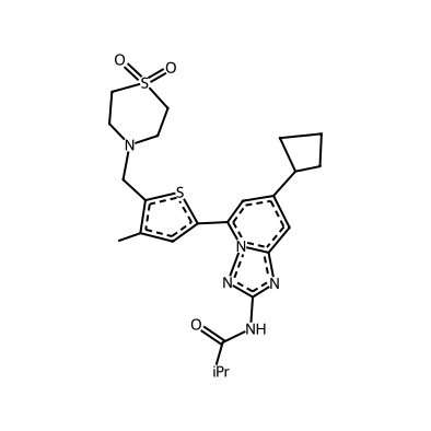 Cc1cc(-c2cc(C3CCC3)cc3nc(NC(=O)C(C)C)nn23)sc1CN1CCS(=O)(=O)CC1